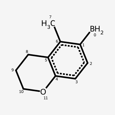 Bc1ccc2c(c1C)CCCO2